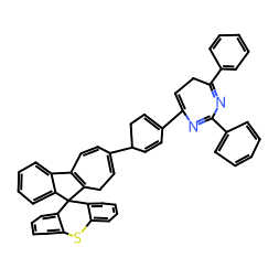 C1=CC(C2=CCC3=C(C=C2)c2ccccc2C32c3ccccc3Sc3ccccc32)CC=C1C1=CCC(c2ccccc2)=NC(c2ccccc2)=N1